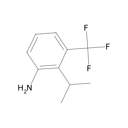 CC(C)c1c(N)cccc1C(F)(F)F